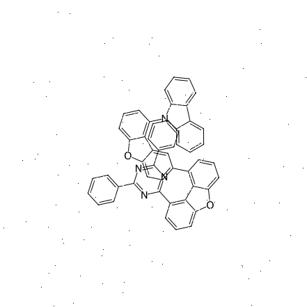 c1ccc(-c2nc(-c3ccccc3)nc(-c3cccc4oc5cccc(-c6ccc7oc8cccc(-n9c%10ccccc%10c%10ccccc%109)c8c7c6)c5c34)n2)cc1